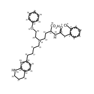 O=C(Cc1ccccc1Cl)NC(CCN(CCCCc1ccc2c(n1)NCCC2)CCOc1ccccc1)C(=O)O